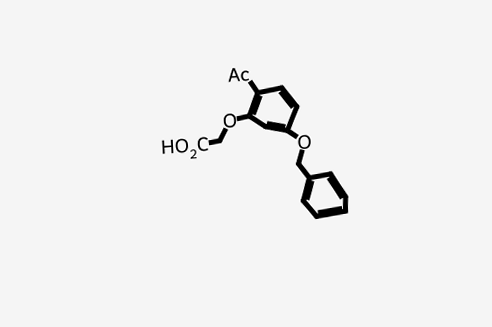 CC(=O)c1ccc(OCc2ccccc2)cc1OCC(=O)O